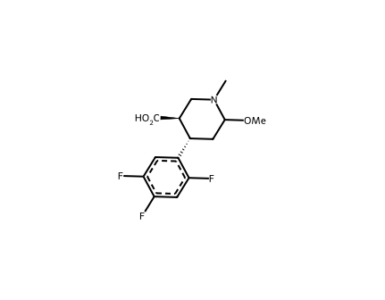 COC1C[C@H](c2cc(F)c(F)cc2F)[C@@H](C(=O)O)CN1C